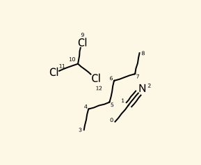 CC#N.CCCCCC.ClC(Cl)Cl